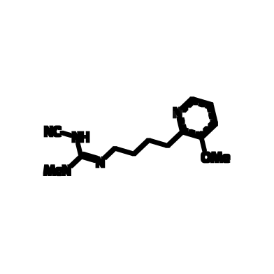 CN/C(=N/CCCCc1ncccc1OC)NC#N